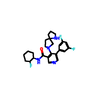 O=C(N[C@@H]1CCCC[C@@H]1F)c1cncc(-c2cc(F)cc(F)c2)c1N1CCC2(CCCN2)C1